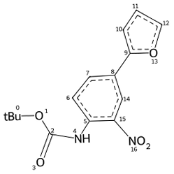 CC(C)(C)OC(=O)Nc1ccc(-c2ccco2)cc1[N+](=O)[O-]